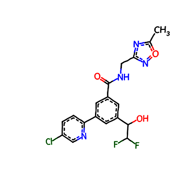 Cc1nc(CNC(=O)c2cc(-c3ccc(Cl)cn3)cc(C(O)C(F)F)c2)no1